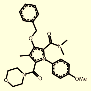 COc1ccc(-n2c(C(=O)N3CCOCC3)c(C)c(OCc3ccccc3)c2C(=O)N(C)C)cc1